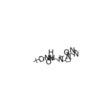 CC(C)N(CCCNC(=O)Nc1ccc(C(C)(C)C)cc1)CC1CCCN(C(=O)c2cnccn2)C1